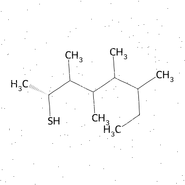 CCC(C)C(C)C(C)C(C)[C@@H](C)S